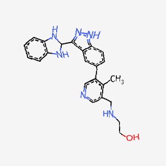 Cc1c(CNCCO)cncc1-c1ccc2[nH]nc(C3Nc4ccccc4N3)c2c1